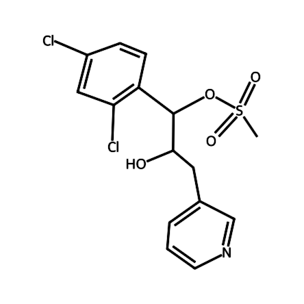 CS(=O)(=O)OC(c1ccc(Cl)cc1Cl)C(O)Cc1cccnc1